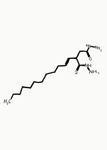 CCCCCCCCCCC=CC(CC(=O)NN)C(=O)NN